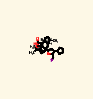 CC(C)C1=CC2CC3(C=O)[C@@H]4CC[C@@H](C)[C@H]4CC2(C2CC(C4CCCC4)C(CI)O2)[C@]13C(=O)O